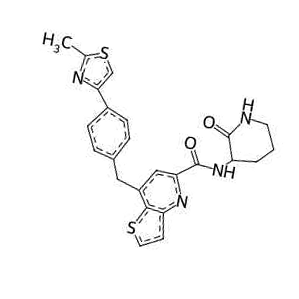 Cc1nc(-c2ccc(Cc3cc(C(=O)NC4CCCNC4=O)nc4ccsc34)cc2)cs1